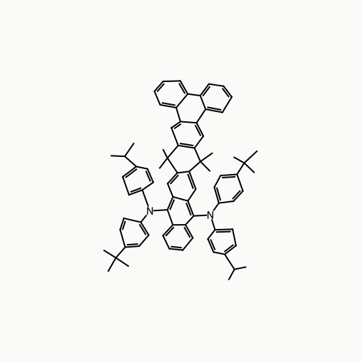 CC(C)c1ccc(N(c2ccc(C(C)(C)C)cc2)c2c3ccccc3c(N(c3ccc(C(C)C)cc3)c3ccc(C(C)(C)C)cc3)c3cc4c(cc23)C(C)(C)c2cc3c5ccccc5c5ccccc5c3cc2C4(C)C)cc1